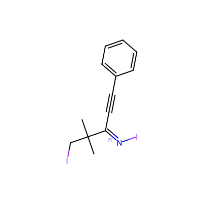 CC(C)(CI)/C(C#Cc1ccccc1)=N/I